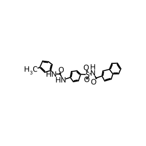 Cc1cccc(NC(=O)Nc2ccc(S(=O)(=O)NC(=O)c3ccc4ccccc4c3)cc2)c1